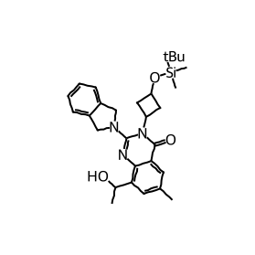 Cc1cc(C(C)O)c2nc(N3Cc4ccccc4C3)n(C3CC(O[Si](C)(C)C(C)(C)C)C3)c(=O)c2c1